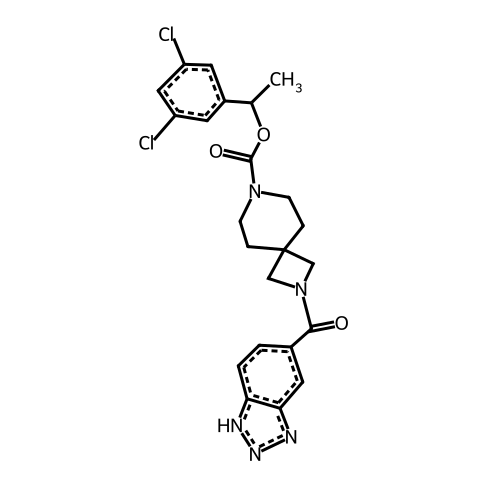 CC(OC(=O)N1CCC2(CC1)CN(C(=O)c1ccc3[nH]nnc3c1)C2)c1cc(Cl)cc(Cl)c1